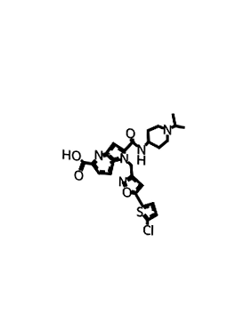 CC(C)N1CCC(NC(=O)c2cc3nc(C(=O)O)ccc3n2Cc2cc(-c3ccc(Cl)s3)on2)CC1